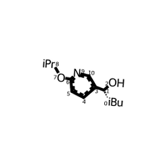 CC[C@@H](C)C(O)c1ccc(OC(C)C)nc1